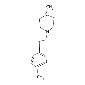 Cc1ccc([CH]CN2CCN(C)CC2)cc1